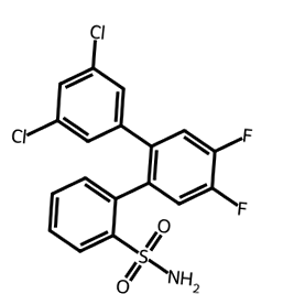 NS(=O)(=O)c1ccccc1-c1cc(F)c(F)cc1-c1cc(Cl)cc(Cl)c1